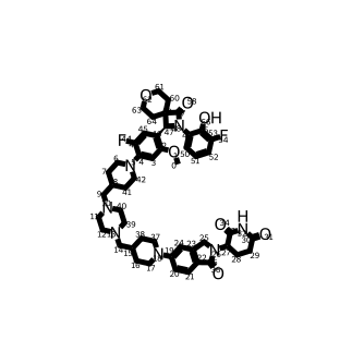 COc1cc(N2CCC(CN3CCN(CC4CCN(c5ccc6c(c5)CN(C5CCC(=O)NC5=O)C6=O)CC4)CC3)CC2)c(F)cc1[C@@H]1N(c2cccc(F)c2O)C(=O)C12CCOCC2